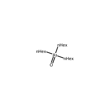 CCCCCC[As](=O)(CCCCCC)CCCCCC